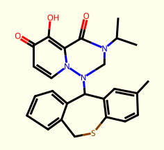 Cc1ccc2c(c1)C(N1CN(C(C)C)C(=O)c3c(O)c(=O)ccn31)c1ccccc1CS2